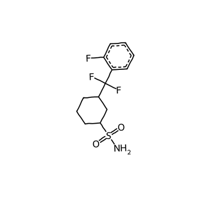 NS(=O)(=O)C1CCCC(C(F)(F)c2ccccc2F)C1